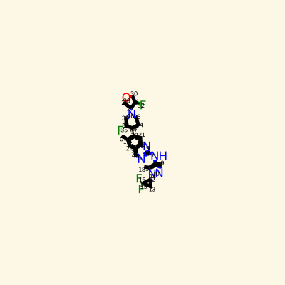 Cc1cc2cnc(Nc3cnn(C4CC4(F)F)c3C)nc2cc1[C@@H]1CCN(C2COCC2F)C[C@H]1F